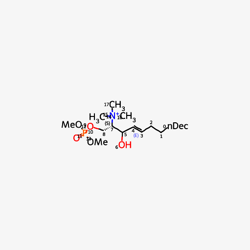 CCCCCCCCCCCC/C=C/C(O)[C@H](COP(=O)(OC)OC)[N+](C)(C)C